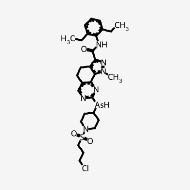 CCc1cccc(CC)c1NC(=O)c1nn(C)c2c1CCc1cnc([AsH]C3CCN(S(=O)(=O)CCCCl)CC3)nc1-2